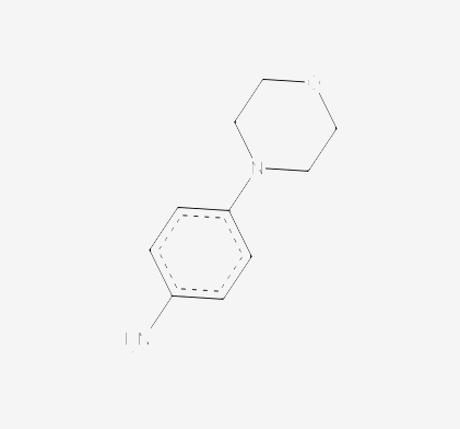 Nc1ccc(N2C[CH]OCC2)cc1